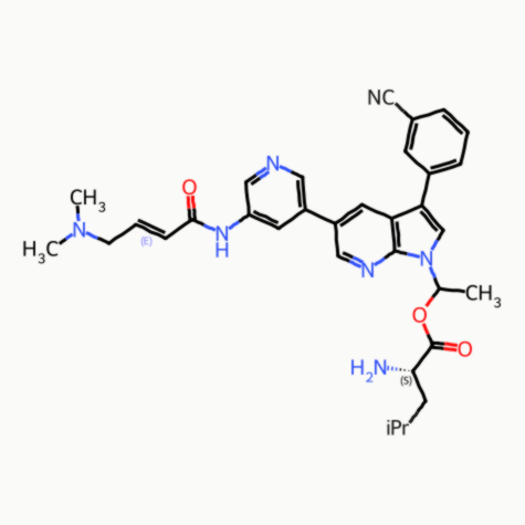 CC(C)C[C@H](N)C(=O)OC(C)n1cc(-c2cccc(C#N)c2)c2cc(-c3cncc(NC(=O)/C=C/CN(C)C)c3)cnc21